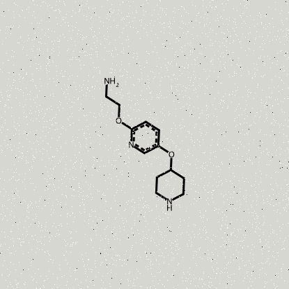 NCCOc1ccc(OC2CCNCC2)cn1